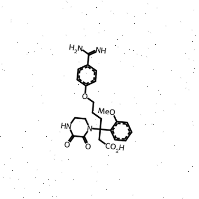 COc1ccccc1C(CCCOc1ccc(C(=N)N)cc1)(CC(=O)O)N1CCNC(=O)C1=O